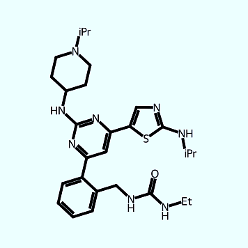 CCNC(=O)NCc1ccccc1-c1cc(-c2cnc(NC(C)C)s2)nc(NC2CCN(C(C)C)CC2)n1